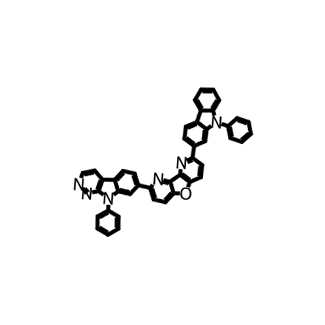 c1ccc(-n2c3ccccc3c3ccc(-c4ccc5oc6ccc(-c7ccc8c9ccnnc9n(-c9ccccc9)c8c7)nc6c5n4)cc32)cc1